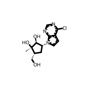 C[C@@]1(O)[C@@H](CO)C[C@@H](n2ccc3c(Cl)ncnc32)[C@@H]1O